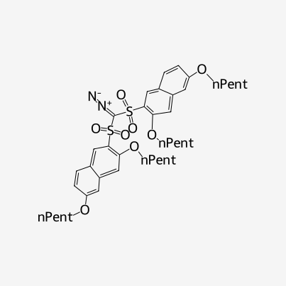 CCCCCOc1ccc2cc(S(=O)(=O)C(=[N+]=[N-])S(=O)(=O)c3cc4ccc(OCCCCC)cc4cc3OCCCCC)c(OCCCCC)cc2c1